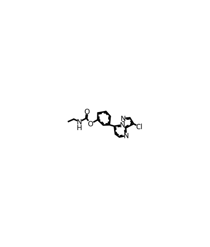 CCNC(=O)Oc1cccc(-c2ccnc3c(Cl)cnn23)c1